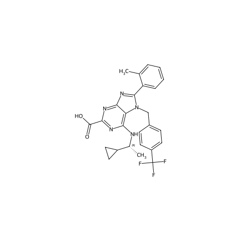 Cc1ccccc1-c1nc2nc(C(=O)O)nc(N[C@H](C)C3CC3)c2n1Cc1ccc(C(F)(F)F)cc1